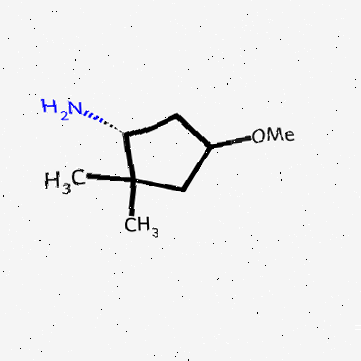 COC1C[C@@H](N)C(C)(C)C1